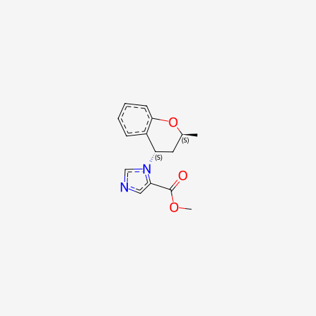 COC(=O)c1cncn1[C@H]1C[C@H](C)Oc2ccccc21